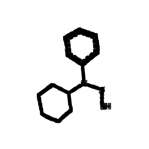 SSN(c1ccccc1)C1CCCCC1